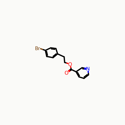 O=C(OCCc1ccc(Br)cc1)c1cccnc1